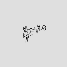 CC[C@@H]1C[C@H](OC(=O)NC[C@H]2CCCO2)C[C@@H]1c1nnc2n1C1C=CNC1N=C2